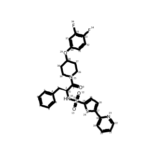 O=C([C@H](Cc1ccccc1)NS(=O)(=O)c1ccc(-c2ccccn2)s1)N1CCC(Oc2ccc(F)c(F)c2)CC1